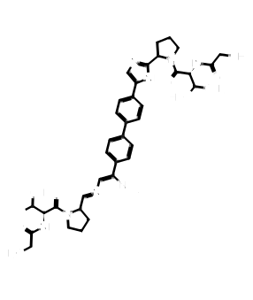 CCC(=O)N[C@H](C(=O)N1CCCC1/C=N/C=C(\N)c1ccc(-c2ccc(-c3cnc(C4CCCN4C(=O)[C@@H](NC(=O)CC)C(C)C)[nH]3)cc2)cc1)C(C)C